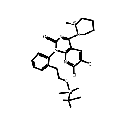 C[C@H]1CCCCN1c1nc(=O)n(-c2ccccc2CCO[Si](C)(C)C(C)(C)C)c2nc(Cl)c(Cl)cc12